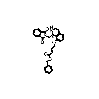 O=C(CCCOc1cccc2c1[C@@H](CN1C(=O)c3ccccc3C1=O)NCC2)OCc1ccccc1